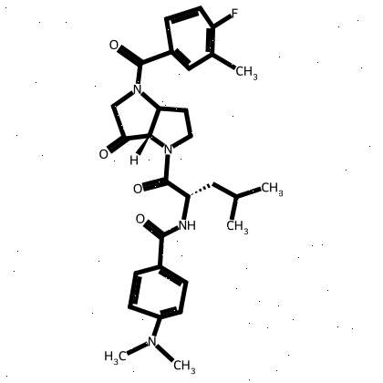 Cc1cc(C(=O)N2CC(=O)[C@@H]3C2CCN3C(=O)[C@H](CC(C)C)NC(=O)c2ccc(N(C)C)cc2)ccc1F